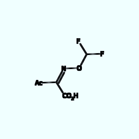 CC(=O)C(=NOC(F)F)C(=O)O